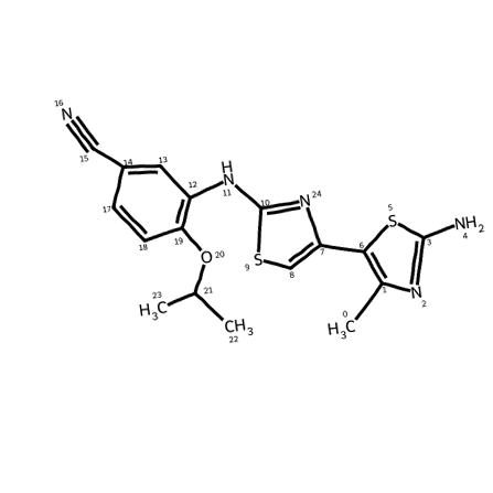 Cc1nc(N)sc1-c1csc(Nc2cc(C#N)ccc2OC(C)C)n1